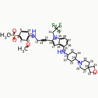 COc1cc(S(C)(=O)=O)ccc1NCC#Cc1cc2c(NC3CCC(N4CCC5(CC4)COC5)CC3)cccc2n1CC(F)(F)F